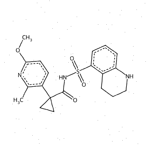 COc1ccc(C2(C(=O)NS(=O)(=O)c3cccc4c3CCCN4)CC2)c(C)n1